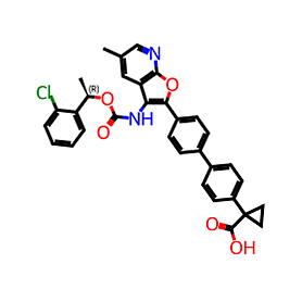 Cc1cnc2oc(-c3ccc(-c4ccc(C5(C(=O)O)CC5)cc4)cc3)c(NC(=O)O[C@H](C)c3ccccc3Cl)c2c1